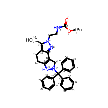 CC(C)(C)OC(=O)NCCn1nc2c(c1C(=O)O)CCC1=C2CN(C(c2ccccc2)(c2ccccc2)c2ccccc2)N1